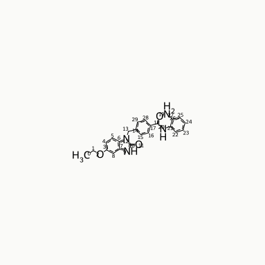 CCOc1ccc2c(c1)[nH]c(=O)n2Cc1ccc(C(=O)Nc2ccccc2N)cc1